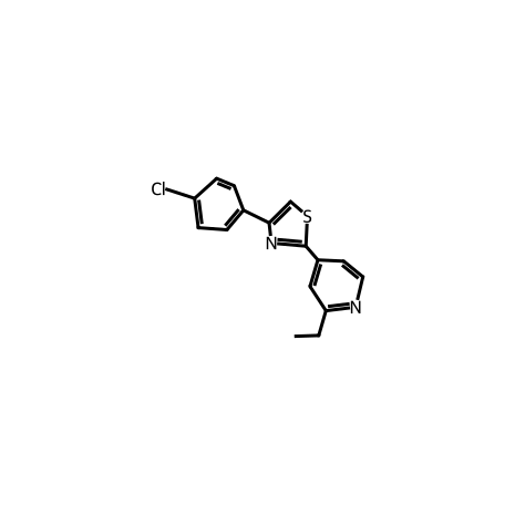 CCc1cc(-c2nc(-c3ccc(Cl)cc3)cs2)ccn1